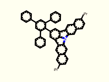 CC(C)c1ccc2cc3c(cc2c1)c1cc(-c2c(-c4ccccc4)cc(-c4ccccc4)cc2-c2ccccc2)cc2c4cc5cc(C(C)C)ccc5cc4n3c12